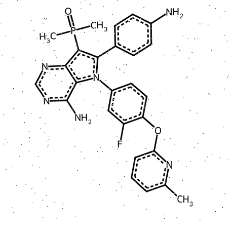 Cc1cccc(Oc2ccc(-n3c(-c4ccc(N)cc4)c(P(C)(C)=O)c4ncnc(N)c43)cc2F)n1